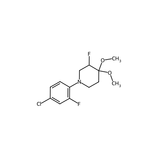 COC1(OC)CCN(c2ccc(Cl)cc2F)CC1F